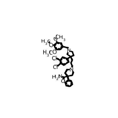 COc1cc(CN2CCC(CCCN3CCC(C(N)=O)(c4ccccc4)CC3)(c3ccc(Cl)c(Cl)c3)C2)cc(OC)c1OC